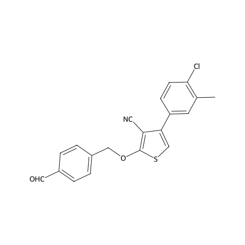 Cc1cc(-c2csc(OCc3ccc(C=O)cc3)c2C#N)ccc1Cl